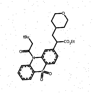 CCOC(=O)C(CC1CCOCC1)c1ccc2c(c1)N(C(=O)CC(C)(C)C)c1ccccc1S2(=O)=O